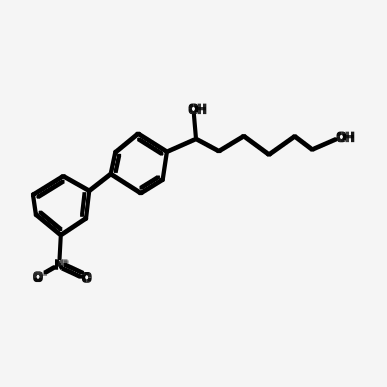 O=[N+]([O-])c1cccc(-c2ccc(C(O)CCCCCO)cc2)c1